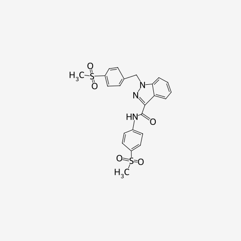 CS(=O)(=O)c1ccc(Cn2nc(C(=O)Nc3ccc(S(C)(=O)=O)cc3)c3ccccc32)cc1